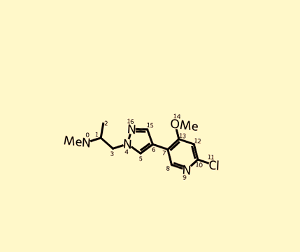 CNC(C)Cn1cc(-c2cnc(Cl)cc2OC)cn1